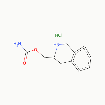 Cl.NC(=O)OCC1Cc2ccccc2CN1